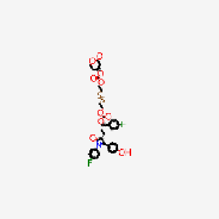 O=C1C[C@H](OC(=O)OCCSSCCOC(=O)O[C@@H](CC[C@H]2C(=O)N(c3ccc(F)cc3)C2c2ccc(O)cc2)c2ccc(F)cc2)CCO1